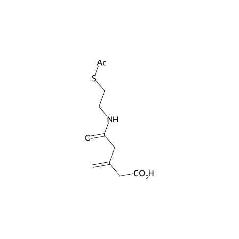 C=C(CC(=O)O)CC(=O)NCCSC(C)=O